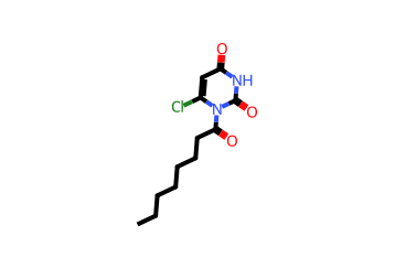 CCCCCCCC(=O)n1c(Cl)cc(=O)[nH]c1=O